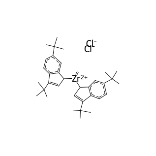 [CH2]=[Zr+2]([CH]1C=C(C(C)(C)C)c2ccc(C(C)(C)C)cc21)[CH]1C=C(C(C)(C)C)c2ccc(C(C)(C)C)cc21.[Cl-].[Cl-]